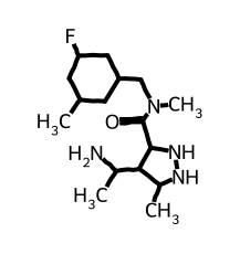 CC1CC(F)CC(CN(C)C(=O)C2NNC(C)C2C(C)N)C1